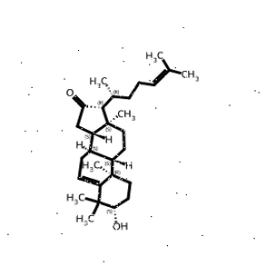 CC(C)=CCC[C@@H](C)[C@H]1C(=O)C[C@H]2[C@@H]3CC=C4C(C)(C)[C@@H](O)CC[C@]4(C)[C@H]3CC[C@]12C